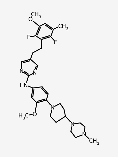 COc1cc(Nc2ncc(CCc3c(F)c(C)cc(OC)c3F)cn2)ccc1N1CCC(N2CCN(C)CC2)CC1